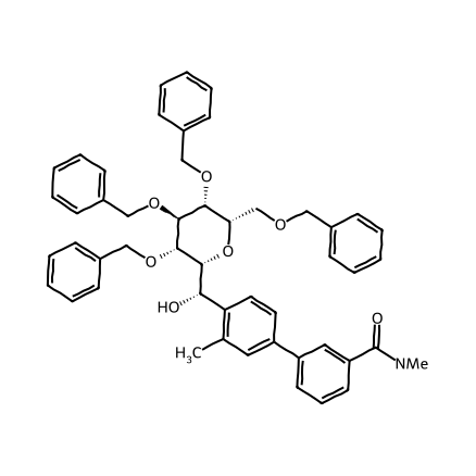 CNC(=O)c1cccc(-c2ccc([C@H](O)[C@H]3O[C@@H](COCc4ccccc4)[C@@H](OCc4ccccc4)[C@H](OCc4ccccc4)[C@H]3OCc3ccccc3)c(C)c2)c1